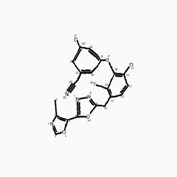 Cc1ncoc1-c1nnc(Cc2ccc(Cl)c(Oc3cc(Cl)cc(C#N)c3)c2F)o1